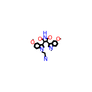 COc1ccc2c(c1)c(C1=C(c3cn(CCC#N)c4ccc(OC)cc34)C(=O)NC1=O)cn2C